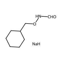 O=CNOCC1CCCCC1.[NaH]